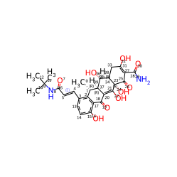 C[C@H]1c2c(/C=C/C(=O)NC(C)(C)C)ccc(O)c2C(=O)C2=C(O)[C@]3(O)C(=O)C(C(N)=O)=C(O)C[C@@H]3[C@@H](O)[C@@H]21